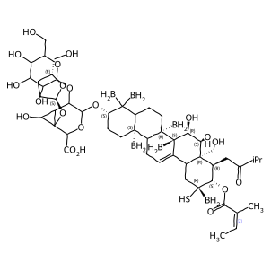 BC1(B)C2CC[C@]3(B)C(CC=C4C5C[C@@](B)(S)[C@@H](OC(=O)/C(C)=C\C)[C@H](CC(=O)C(C)C)[C@]5(CO)[C@H](O)[C@H](O)[C@]43B)[C@@]2(B)CC[C@@H]1OC1OC(C(=O)O)C2(O[C@H]3CC[C@H](CO)O3)C(O)C2C1OC1OC(CO)C(O)C(O)C1O